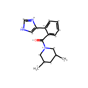 CC1CC(C)CN(C(=O)c2ccccc2-c2c[nH]cn2)C1